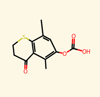 Cc1cc(OC(=O)O)c(C)c2c1SCCC2=O